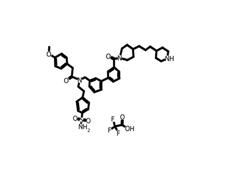 COc1ccc(CC(=O)N(CCc2ccc(S(N)(=O)=O)cc2)Cc2cccc(-c3cccc(C(=O)N4CCC(CCCC5CCNCC5)CC4)c3)c2)cc1.O=C(O)C(F)(F)F